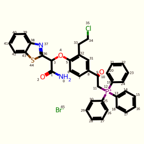 NC(=O)C(Oc1ccc(C(=O)C[P+](c2ccccc2)(c2ccccc2)c2ccccc2)cc1CCCl)c1nc2ccccc2s1.[Br-]